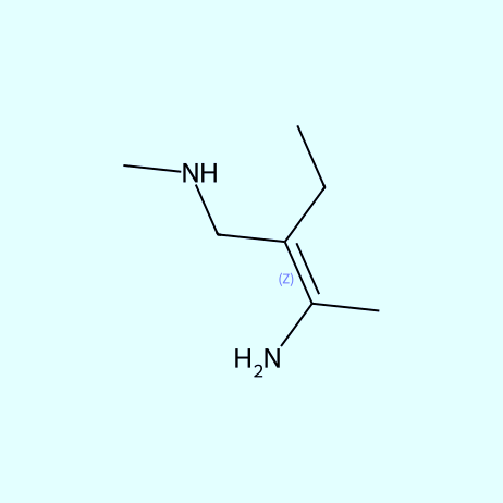 CC/C(CNC)=C(\C)N